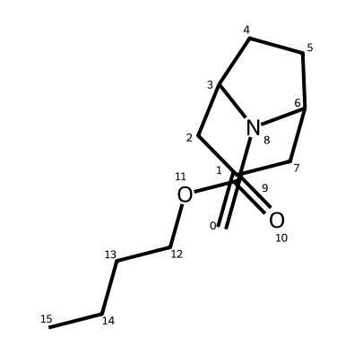 C=C1CC2CCC(C1)N2C(=O)OCCCC